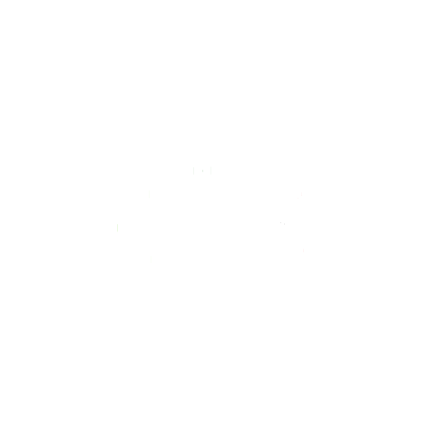 Cl.O=C(O)C1CCC(C(F)(F)F)CC1